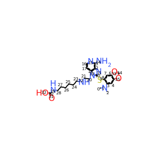 CN(C)c1cc2c(cc1Sc1nc3c(N)nccc3n1CCNCCCCCCNC(=O)O)OCO2